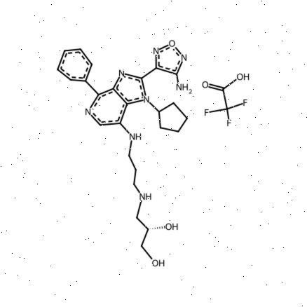 Nc1nonc1-c1nc2c(-c3ccccc3)ncc(NCCCNC[C@H](O)CO)c2n1C1CCCC1.O=C(O)C(F)(F)F